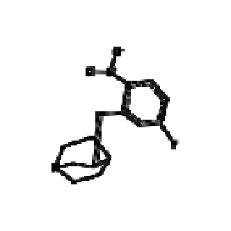 [O-][S+](Cl)c1ccc(F)cc1C=C1CN2CCC1CC2